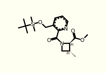 COC(=O)[C@H]1[C@H](C)CN1C(=O)c1ncccc1CO[Si](C)(C)C(C)(C)C